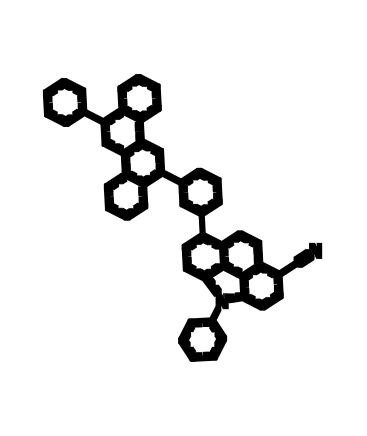 N#Cc1ccc2c3c1ccc1c(-c4cccc(-c5cc6c7ccccc7c(-c7ccccc7)cc6c6ccccc56)c4)ccc(c13)n2-c1ccccc1